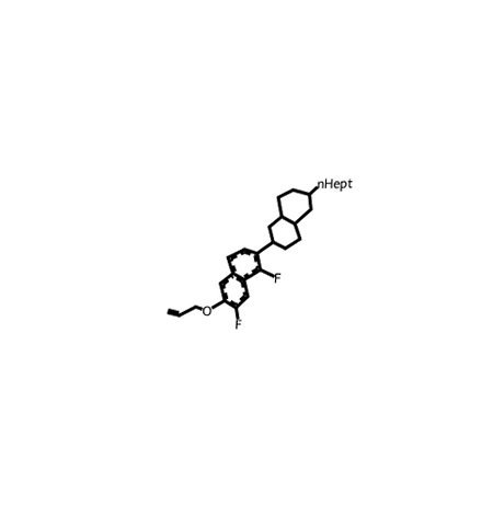 C=CCOc1cc2ccc(C3CCC4CC(CCCCCCC)CCC4C3)c(F)c2cc1F